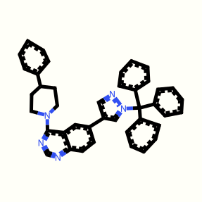 c1ccc(C2CCN(c3ncnc4ccc(-c5cnn(C(c6ccccc6)(c6ccccc6)c6ccccc6)c5)cc34)CC2)cc1